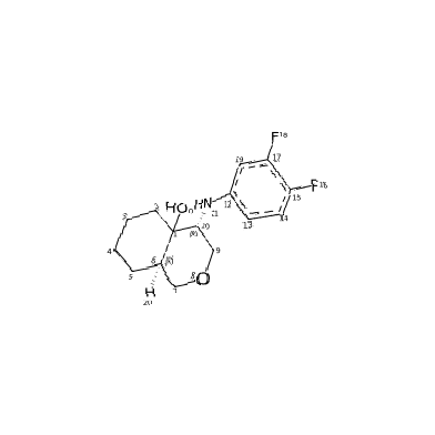 OC12CCCC[C@@H]1COC[C@H]2Nc1ccc(F)c(F)c1